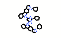 c1ccc(-c2nc(-n3c4ccccc4c4cc5ccn(-c6ccccc6)c5cc43)cc(-n3c4ccccc4c4cc5ccn(-c6ccccc6)c5cc43)n2)cc1